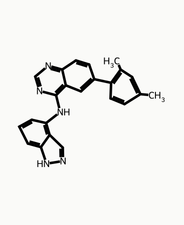 Cc1ccc(-c2ccc3ncnc(Nc4cccc5[nH]ncc45)c3c2)c(C)c1